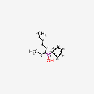 CCCCCC(CC)P(O)c1ccccc1